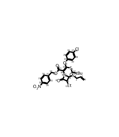 C=CCSC1C(CC)C(=O)N1C(C(=O)OCc1ccc([N+](=O)[O-])cc1)=C(Oc1ccc(Cl)cc1)SC(=O)C(C)(C)C